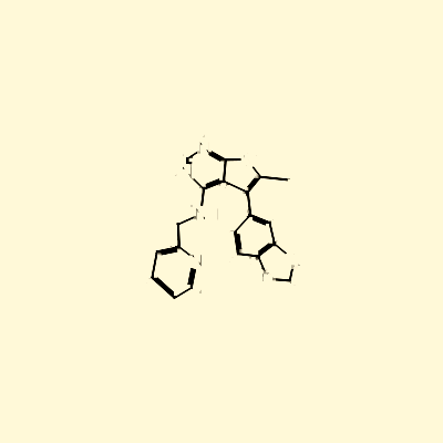 Cc1sc2n[c]nc(NCc3ccccn3)c2c1-c1ccc2c(c1)OCO2